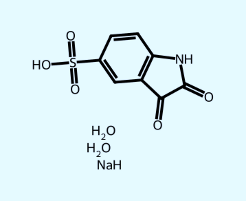 O.O.O=C1Nc2ccc(S(=O)(=O)O)cc2C1=O.[NaH]